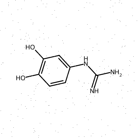 N=C(N)Nc1ccc(O)c(O)c1